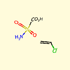 C=CCl.NS(=O)(=O)C(=O)O